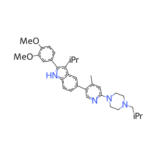 COc1ccc(-c2[nH]c3ccc(-c4cnc(N5CCN(CC(C)C)CC5)cc4C)cc3c2C(C)C)cc1OC